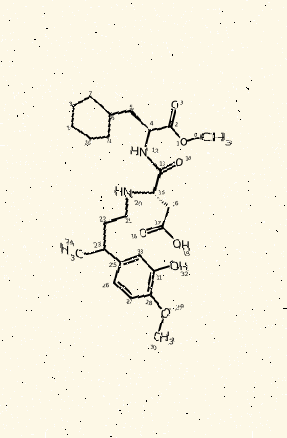 COC(=O)[C@H](CC1CCCCC1)NC(=O)[C@H](CC(=O)O)NCCC(C)c1ccc(OC)c(O)c1